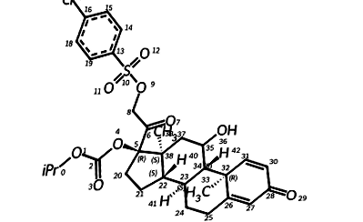 CC(C)OC(=O)O[C@]1(C(=O)COS(=O)(=O)c2ccc(Cl)cc2)CC[C@H]2[C@@H]3CCC4=CC(=O)C=C[C@]4(C)[C@H]3C(O)C[C@@]21C